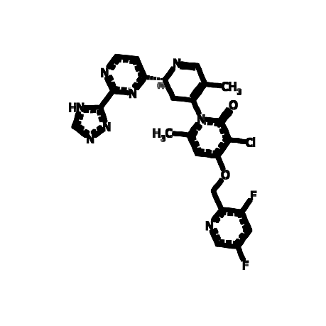 CC1=C(n2c(C)cc(OCc3ncc(F)cc3F)c(Cl)c2=O)C[C@H](c2ccnc(-c3nnc[nH]3)n2)N=C1